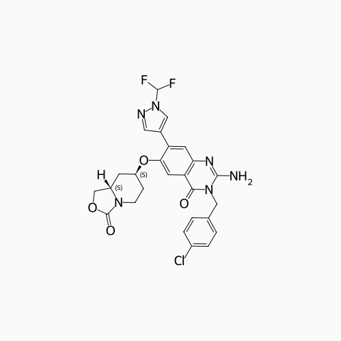 Nc1nc2cc(-c3cnn(C(F)F)c3)c(O[C@H]3CCN4C(=O)OC[C@@H]4C3)cc2c(=O)n1Cc1ccc(Cl)cc1